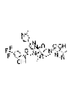 Cc1cc(-c2nc3n(CC(=O)Nc4ccc(C(F)(F)F)cc4Cl)c4c(c(=O)n3n2)C2(CCN(C(=O)c3ncnc(C)c3O)CC2)OC4C)ccn1